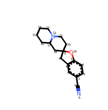 N#Cc1ccc2c(c1)CC1(CCN3CCCCC3C1)O2